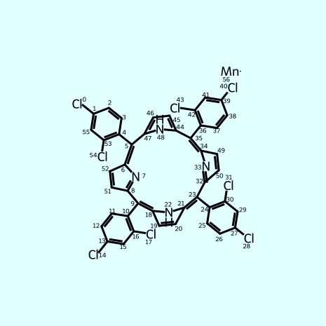 Clc1ccc(-c2c3nc(c(-c4ccc(Cl)cc4Cl)c4ccc([nH]4)c(-c4ccc(Cl)cc4Cl)c4nc(c(-c5ccc(Cl)cc5Cl)c5ccc2[nH]5)C=C4)C=C3)c(Cl)c1.[Mn]